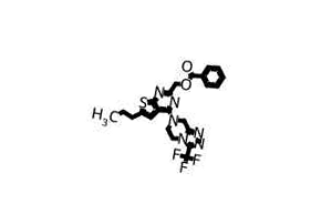 CCCc1cc2c(N3CCn4c(nnc4C(F)(F)F)C3)nc(COC(=O)c3ccccc3)nc2s1